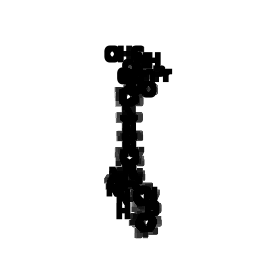 CCCC(C(=O)NC=O)N1C(=O)c2ccc(N3CC(N4CC(N5CCC(n6nc(-c7ccc(Oc8ccccc8)nc7)c7c(N)ncnc76)CC5)C4)C3)cc2C1=O